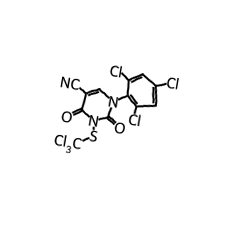 N#Cc1cn(-c2c(Cl)cc(Cl)cc2Cl)c(=O)n(SC(Cl)(Cl)Cl)c1=O